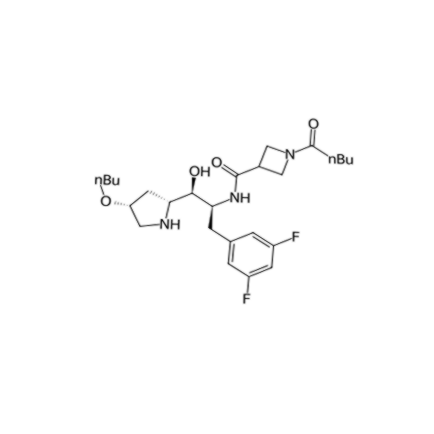 CCCCO[C@H]1CN[C@@H]([C@@H](O)[C@H](Cc2cc(F)cc(F)c2)NC(=O)C2CN(C(=O)CCCC)C2)C1